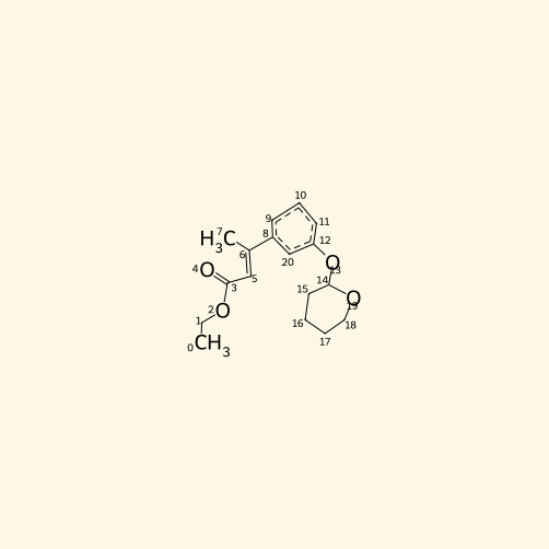 CCOC(=O)C=C(C)c1cccc(OC2CCCCO2)c1